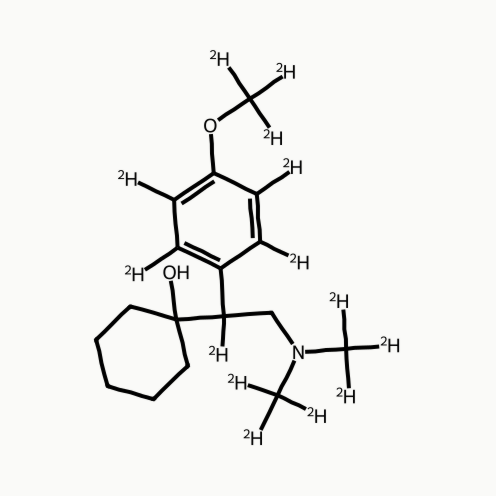 [2H]c1c([2H])c(C([2H])(CN(C([2H])([2H])[2H])C([2H])([2H])[2H])C2(O)CCCCC2)c([2H])c([2H])c1OC([2H])([2H])[2H]